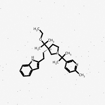 CCOC(C)(C)[C@@]1(CCc2cc3ccccc3[nH]2)CCN(C(C)(C)c2ccc(C)nc2)C1